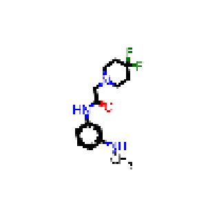 CNc1cccc(NC(=O)CN2CCC(F)(F)CC2)c1